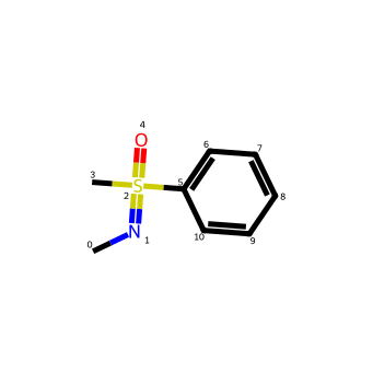 CN=S(C)(=O)c1ccccc1